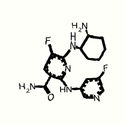 NC(=O)c1cc(F)c(N[C@@H]2CCCC[C@@H]2N)nc1Nc1cncc(F)c1